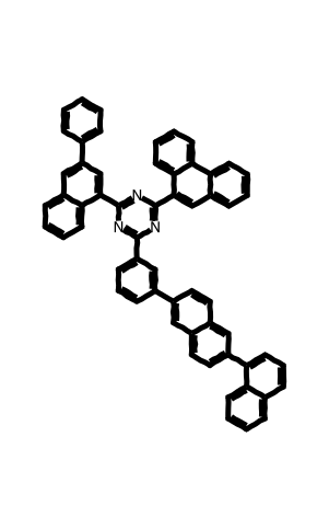 c1ccc(-c2cc(-c3nc(-c4cccc(-c5ccc6cc(-c7cccc8ccccc78)ccc6c5)c4)nc(-c4cc5ccccc5c5ccccc45)n3)c3ccccc3c2)cc1